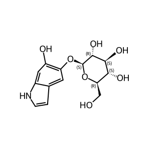 OC[C@H]1O[C@@H](Oc2cc3cc[nH]c3cc2O)[C@H](O)[C@@H](O)[C@@H]1O